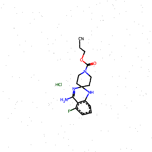 Cl.N#CCCOC(=O)N1CCC2(CC1)N=C(N)c1c(F)cccc1N2